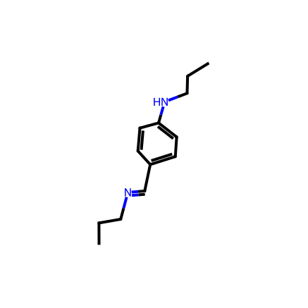 CCCN=Cc1ccc(NCCC)cc1